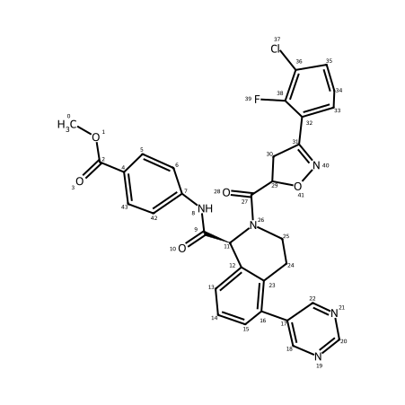 COC(=O)c1ccc(NC(=O)[C@@H]2c3cccc(-c4cncnc4)c3CCN2C(=O)C2CC(c3cccc(Cl)c3F)=NO2)cc1